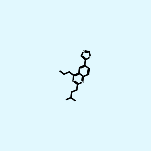 CCCc1nc(CCC(C)C)nc2ccc(-c3cnco3)cc12